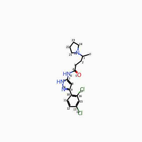 CC(CCC(=O)Nc1cc(-c2ccc(Cl)cc2Cl)n[nH]1)N1CCCC1